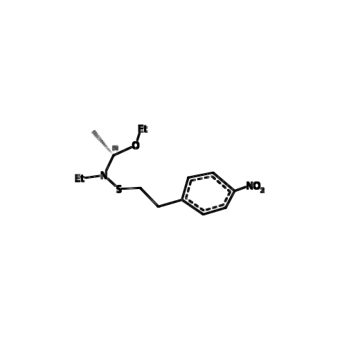 CCO[C@@H](C)N(CC)SCCc1ccc([N+](=O)[O-])cc1